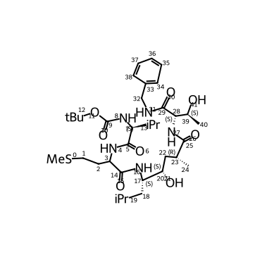 CSCCC(NC(=O)[C@@H](NC(=O)OC(C)(C)C)C(C)C)C(=O)N[C@@H](CC(C)C)[C@@H](O)C[C@@H](C)C(=O)N[C@H](C(=O)NCc1ccccc1)[C@H](C)O